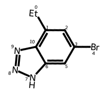 CCc1cc(Br)cc2[nH]nnc12